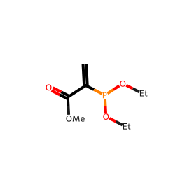 C=C(C(=O)OC)P(OCC)OCC